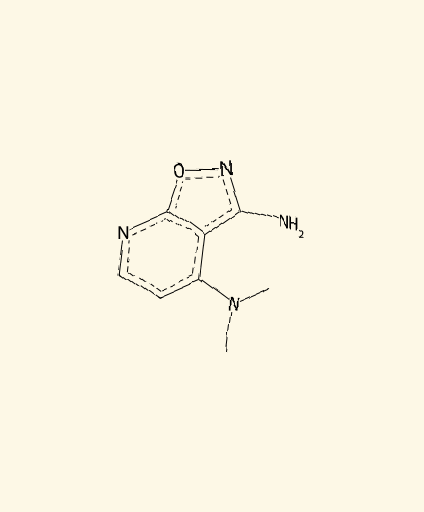 CN(C)c1ccnc2onc(N)c12